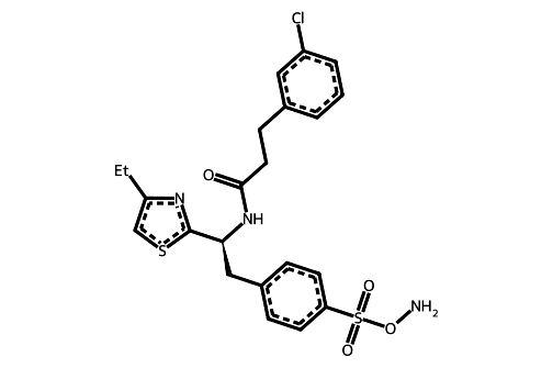 CCc1csc([C@H](Cc2ccc(S(=O)(=O)ON)cc2)NC(=O)CCc2cccc(Cl)c2)n1